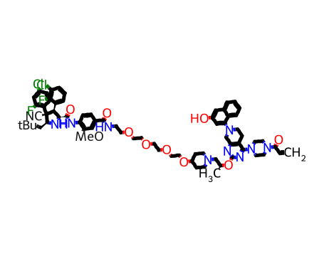 C=CC(=O)N1CCN(c2nc(O[C@H](C)CN3CCC(OCCOCCOCCOCCNC(=O)c4ccc(NC(=O)[C@@H]5N[C@@H](CC(C)(C)C)[C@](C#N)(c6ccc(Cl)cc6F)[C@H]5c5cccc(Cl)c5F)c(OC)c4)CC3)nc3c2CCN(c2cc(O)cc4ccccc24)C3)CC1